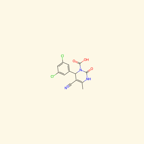 CC1=C(C#N)C(c2cc(Cl)cc(Cl)c2)N(C(=O)O)C(=O)N1